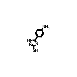 Nc1ccc(-c2nc(S)n[nH]2)cc1